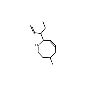 CCC(N=O)C1C=CCC(C)CCN1